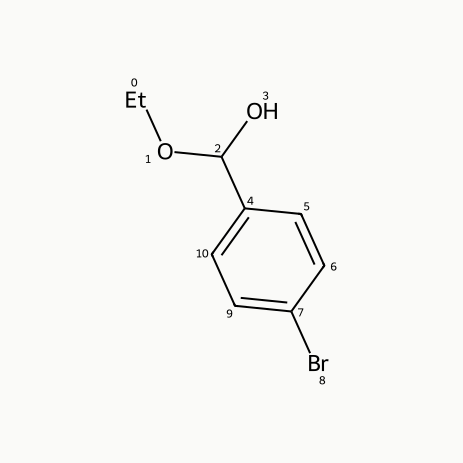 CCOC(O)c1ccc(Br)cc1